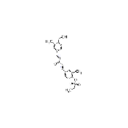 CCS(=O)(=O)Oc1ccc(/C=C/C(=O)/C=C/c2ccc(CO)c(C)c2)cc1C